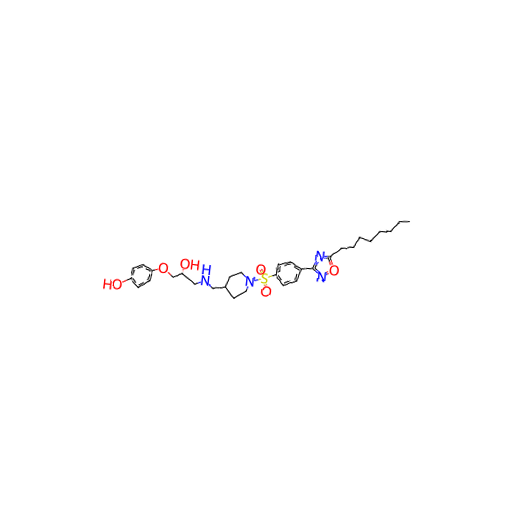 CCCCCCCCc1nc(-c2ccc(S(=O)(=O)N3CCC(CNC[C@@H](O)COc4ccc(O)cc4)CC3)cc2)no1